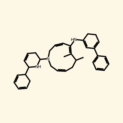 C/C1=C(NC2=CC(c3ccccc3)=CCC2)\C=C/CN(C2CC=CC(C3C=CC=CC3)N2)C/C=C\CC1C